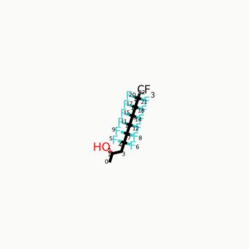 CC(O)CC(F)(F)C(F)(F)C(F)(F)C(F)(F)C(F)(F)C(F)(F)C(F)(F)F